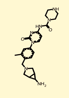 Cc1cc(-n2ccc(NC(=O)N3CCNCC3)nc2=O)ccc1CN1CC2C(N)C2C1